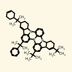 CC(C)(C)C1=CC2c3cc(C(C)(C)C)cc4c3N(c3cccc5c3B4c3cc(C(C)(C)c4ccccc4)cc4c3N5C3CCC(C(C)(C)C5CC=CCC5)C=C43)C2CC1